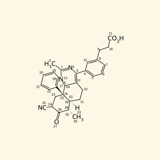 Cc1nc(-c2cccc(CCC(=O)O)c2)c2c(n1)[C@@]1(c3ccccc3)CC(C#N)C(=O)[C@@H](C)[C@@H]1CC2